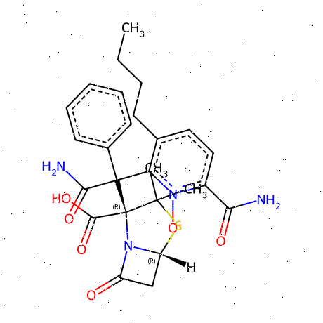 CCCCc1ccc(C(N)=O)[n+]([O-])c1C(C(N)=O)(c1ccccc1)[C@]1(C(=O)O)N2C(=O)C[C@H]2SC1(C)C